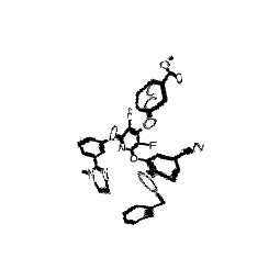 COC(=O)C1CC2(Oc3c(F)c(Oc4cccc(C5=NCCN5C)c4)nc(Oc4cc(C#N)ccc4OCc4ccccc4)c3F)CCC1CC2